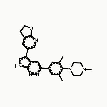 Cc1cc(-c2cc3c(-c4cnc5c(c4)CCO5)c[nH]c3nn2)cc(C)c1N1CCN(C)CC1